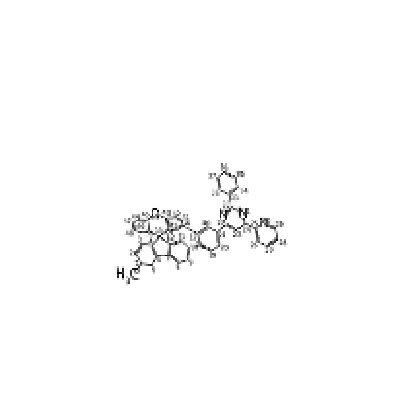 CC1C=CC2=C(C1)c1ccccc1C21c2cc(-c3cccc(-c4cc(-c5ccccn5)nc(-c5ccccc5)n4)c3)ccc2OC2=CC=CCC21